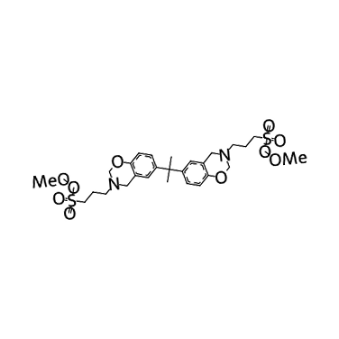 COOS(=O)(=O)CCCN1COc2ccc(C(C)(C)c3ccc4c(c3)CN(CCCS(=O)(=O)OOC)CO4)cc2C1